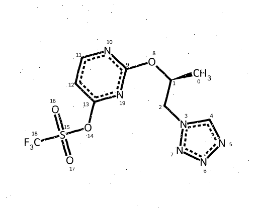 C[C@@H](Cn1cnnn1)Oc1nccc(OS(=O)(=O)C(F)(F)F)n1